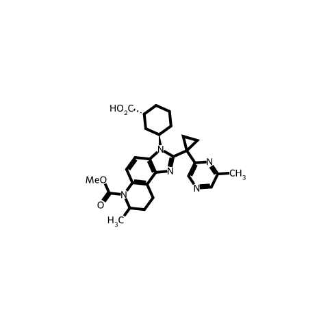 COC(=O)N1c2ccc3c(nc(C4(c5cncc(C)n5)CC4)n3[C@@H]3CCC[C@@H](C(=O)O)C3)c2CCC1C